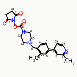 Cc1cc(-c2ccc(CN3CCN(C(=O)ON4C(=O)CCC4=O)CC3)c(C)c2)ccn1